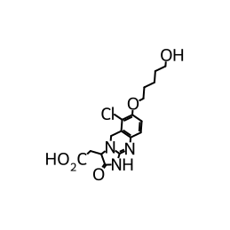 O=C(O)CC1C(=O)NC2=Nc3ccc(OCCCCCO)c(Cl)c3CN21